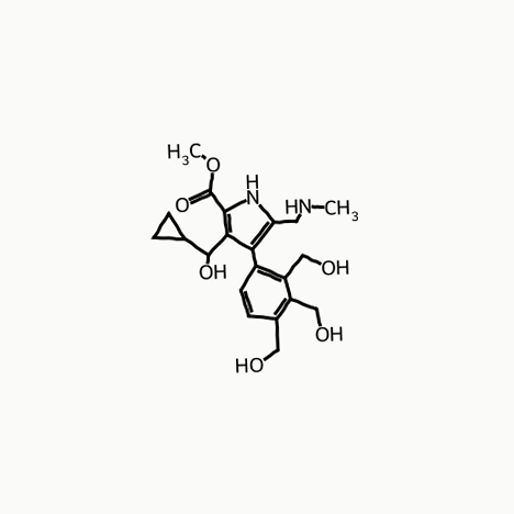 CNCc1[nH]c(C(=O)OC)c(C(O)C2CC2)c1-c1ccc(CO)c(CO)c1CO